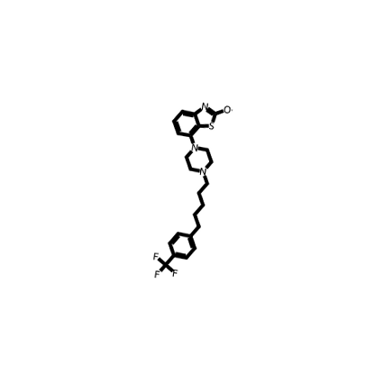 [O]c1nc2cccc(N3CCN(CCCCCc4ccc(C(F)(F)F)cc4)CC3)c2s1